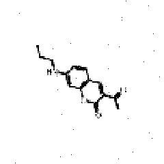 CCCNc1ccc2cc(C(C)=O)c(=O)oc2c1